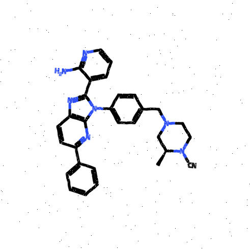 C[C@H]1CN(Cc2ccc(-n3c(-c4cccnc4N)nc4ccc(-c5ccccc5)nc43)cc2)CCN1C#N